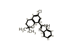 CC1(C)CCc2cc(Cl)cc(-c3nc4ccccc4[nH]3)c2O1